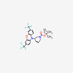 CC(C)(C)OC(=O)N1CC=C[C@@H](N2c3ccc(C(F)(F)F)cc3Oc3cc(C(F)(F)F)ccc32)C1